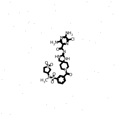 CN(C1CCS(=O)(=O)C1)S(=O)(=O)c1cccc(C(=O)N2CCC3(CC2)CN/C(=N\C(=O)c2nc(Cl)c(N)nc2N)N3)c1